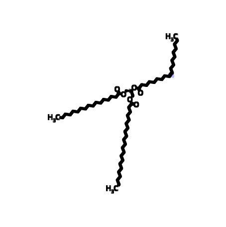 CCCCCCCCC/C=C\CCCCCCCC(=O)O[C@H](COC(=O)CCCCCCCCCCCCCCCC)COC(=O)CCCCCCCCCCCCCCCCCCCCC